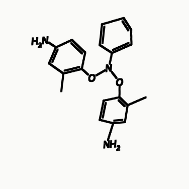 Cc1cc(N)ccc1ON(Oc1ccc(N)cc1C)c1ccccc1